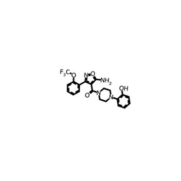 Nc1onc(-c2ccccc2OC(F)(F)F)c1C(=O)N1CCN(c2ccccc2O)CC1